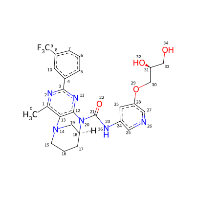 Cc1nc(-c2cccc(C(F)(F)F)c2)nc2c1N1CCC[C@@H](C1)N2C(=O)Nc1cncc(OC[C@@H](O)CO)c1